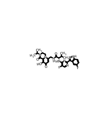 CC(C)[C@H](Nc1nc(-c2n[nH]c3ccc(F)cc23)ncc1F)C(=O)NCc1cc(=O)c(O)c2n1CCN(C(C)C)C2=O